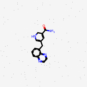 NC(=O)C1=CC(Cc2cccc3nccnc23)=CNC1